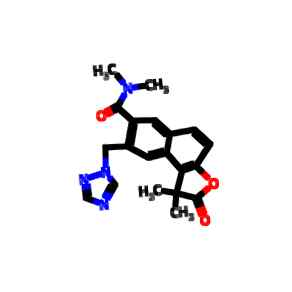 CN(C)C(=O)c1cc2ccc3c(c2cc1Cn1cncn1)C(C)(C)C(=O)O3